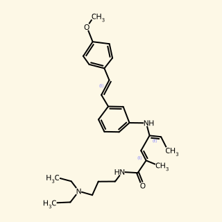 C/C=C(\C=C(/C)C(=O)NCCCN(CC)CC)Nc1cccc(/C=C/c2ccc(OC)cc2)c1